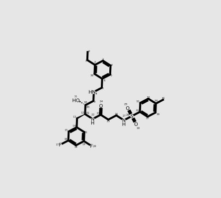 CCc1cccc(CNC[C@@H](O)[C@H](Cc2cc(F)cc(F)c2)NC(=O)CCNS(=O)(=O)c2ccc(C)cc2)c1